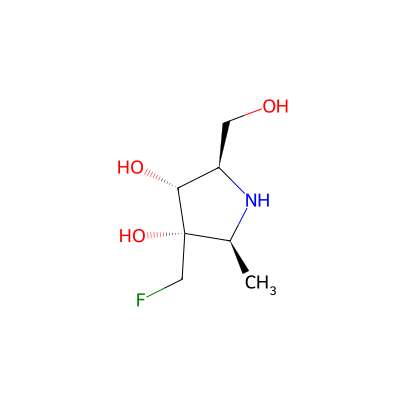 C[C@@H]1N[C@H](CO)[C@@H](O)[C@]1(O)CF